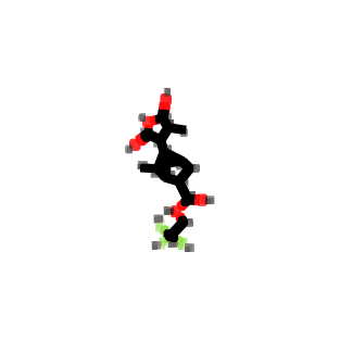 CC1C(=O)OC(=O)C1C1C2CC(C(=O)OCC(F)(F)F)C(C2)C1C